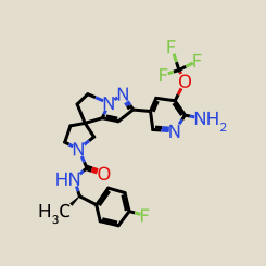 C[C@@H](NC(=O)N1CCC2(CCn3nc(-c4cnc(N)c(OC(F)(F)F)c4)cc32)C1)c1ccc(F)cc1